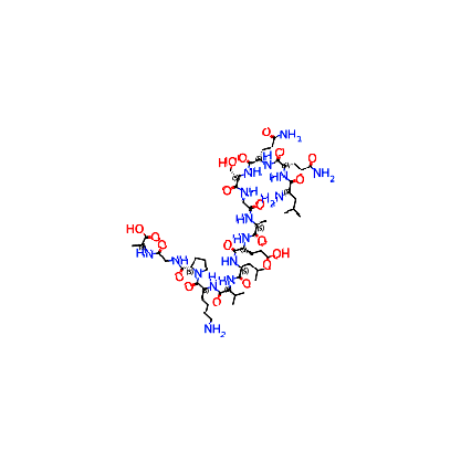 CC(C)C[C@H](NC(=O)[C@H](CCC(=O)O)NC(=O)[C@H](C)NC(=O)CNC(=O)[C@H](CO)NC(=O)[C@H](CCC(N)=O)NC(=O)[C@H](CCC(N)=O)NC(=O)[C@@H](N)CC(C)C)C(=O)N[C@H](C(=O)N[C@@H](CCCCN)C(=O)N1CCC[C@H]1C(=O)NCC(=O)N[C@@H](C)C(=O)O)C(C)C